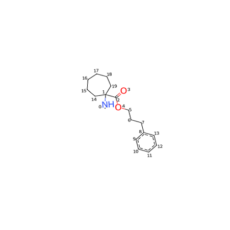 [NH]C1(C(=O)OCCCc2ccccc2)CCCCCC1